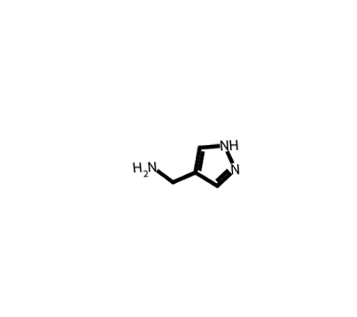 NCc1cn[nH]c1